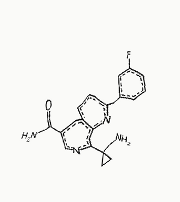 NC(=O)c1cnc(C2(N)CC2)c2nc(-c3cccc(F)c3)ccc12